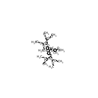 CCCOCC(COCCC)OCC(COC(COCCC)COCCC)Oc1ccc2nc3ccc(OC(COC(COCCOC)COCCOC)COC(COCCOC)COCCOC)cc3c(C(=O)Oc3c(C)cc(C(=O)OC)cc3C)c2c1